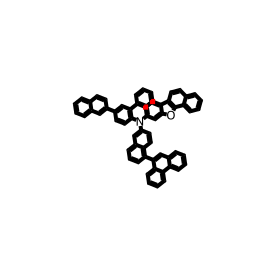 c1ccc(-c2cc(-c3ccc4ccccc4c3)ccc2N(c2ccc3c(-c4cc5ccccc5c5ccccc45)cccc3c2)c2ccc3c(c2)oc2c4ccccc4ccc32)cc1